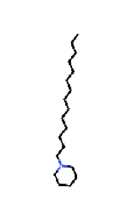 CCCCCCCCCCCCC[CH]N1CCCCC1